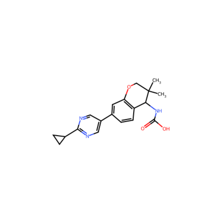 CC1(C)COc2cc(-c3cnc(C4CC4)nc3)ccc2C1NC(=O)O